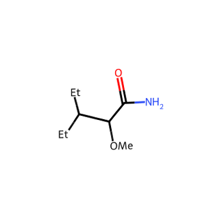 CCC(CC)C(OC)C(N)=O